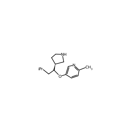 Cc1ccc(OC(CC(C)C)[C@H]2CCNC2)cn1